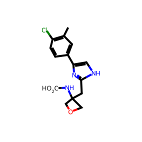 Cc1cc(-c2c[nH]c(CC3(NC(=O)O)COC3)n2)ccc1Cl